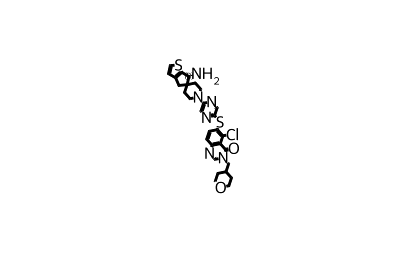 N[C@H]1c2sccc2CC12CCN(c1cnc(Sc3ccc4ncn(CC5CCOCC5)c(=O)c4c3Cl)cn1)CC2